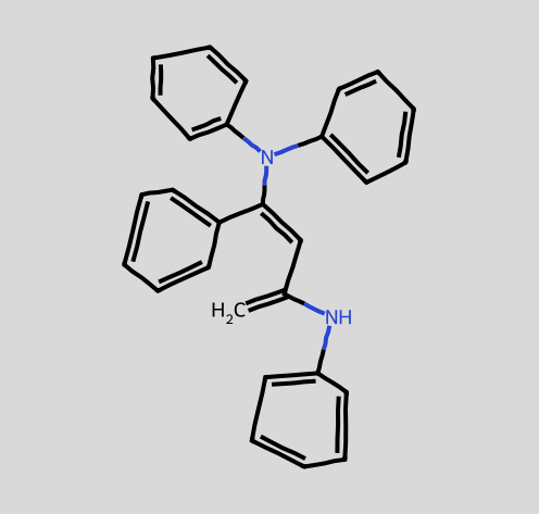 C=C(C=C(c1ccccc1)N(c1ccccc1)c1ccccc1)Nc1ccccc1